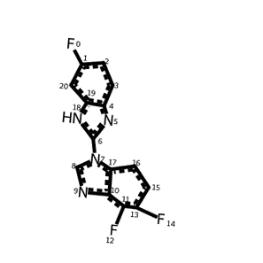 Fc1ccc2nc(-n3cnc4c(F)c(F)ccc43)[nH]c2c1